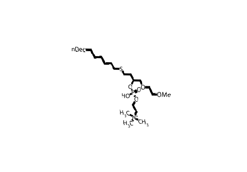 CCCCCCCCCCCCCCCCSCCC(COCCOC)OP(=O)(O)OCC[N+](C)(C)C